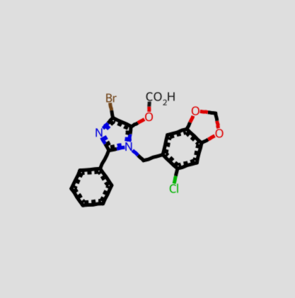 O=C(O)Oc1c(Br)nc(-c2ccccc2)n1Cc1cc2c(cc1Cl)OCO2